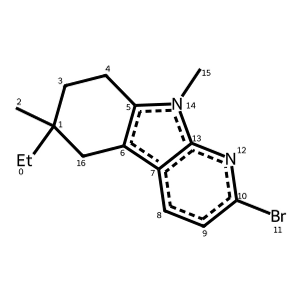 CCC1(C)CCc2c(c3ccc(Br)nc3n2C)C1